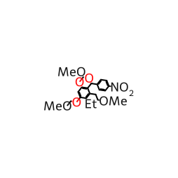 CCc1c(OCOC)cc(OCOC)c(C(=O)c2ccc([N+](=O)[O-])cc2)c1CCOC